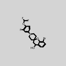 OC1CC2(CCN(c3ccc(OC(F)F)c(F)c3)CC2)Oc2c(Br)cccc21